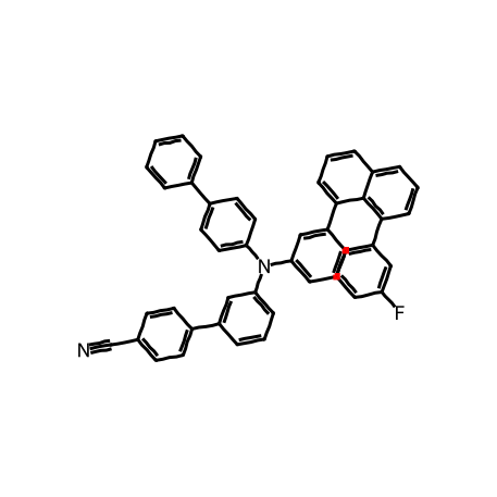 N#Cc1ccc(-c2cccc(N(c3ccc(-c4ccccc4)cc3)c3cccc(-c4cccc5cccc(-c6cccc(F)c6)c45)c3)c2)cc1